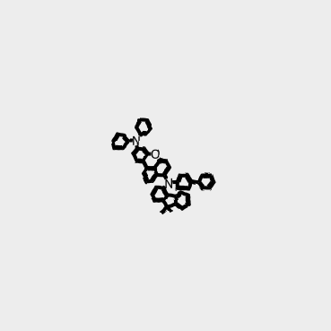 CC1(C)c2ccccc2-c2c(N(c3ccc(-c4ccccc4)cc3)c3ccc4c5c(cccc35)-c3ccc(N(c5ccccc5)c5ccccc5)cc3O4)cccc21